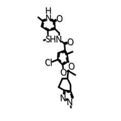 CSc1cc(C)[nH]c(=O)c1CNC(=O)c1cc(Cl)c2c(c1C)OC(C)(C1CCc3nn(C)cc3C1)O2